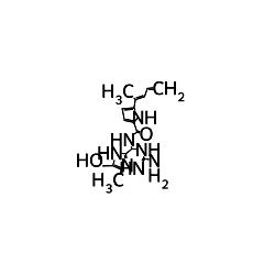 C=C/C=C(\C)c1ccc(C(=O)NC(NC(=N)N)c2nc(C)c(CO)[nH]2)[nH]1